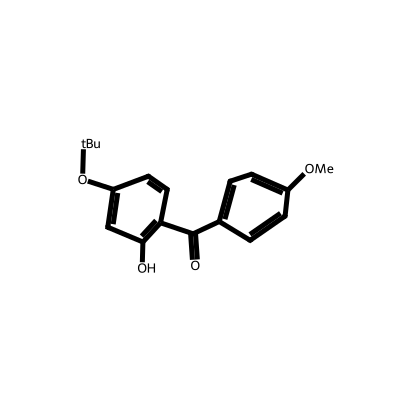 COc1ccc(C(=O)c2ccc(OC(C)(C)C)cc2O)cc1